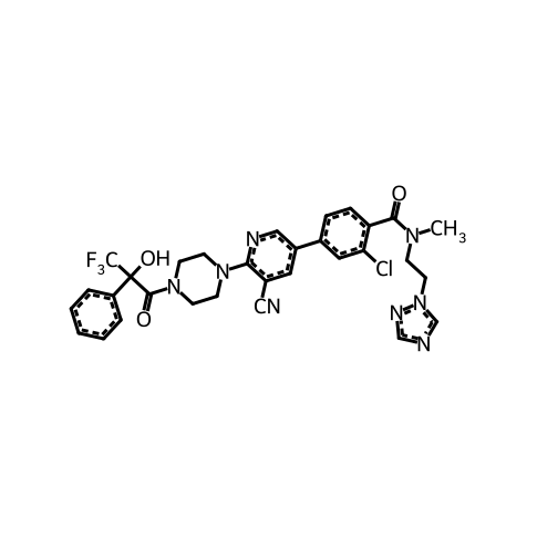 CN(CCn1cncn1)C(=O)c1ccc(-c2cnc(N3CCN(C(=O)C(O)(c4ccccc4)C(F)(F)F)CC3)c(C#N)c2)cc1Cl